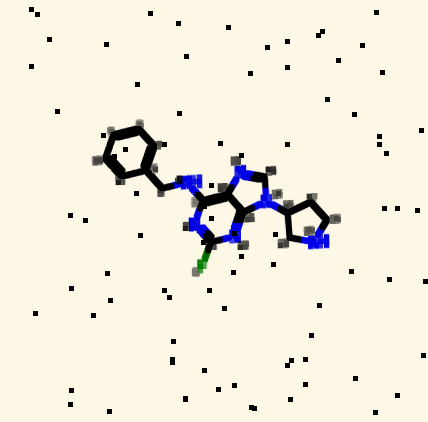 Fc1nc(NCc2ccccc2)c2ncn(C3CCNC3)c2n1